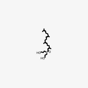 CC(C)=CCCC(C)=CCCC(C)=CCCC(C)=CC(=O)N(CCCO)CCCO